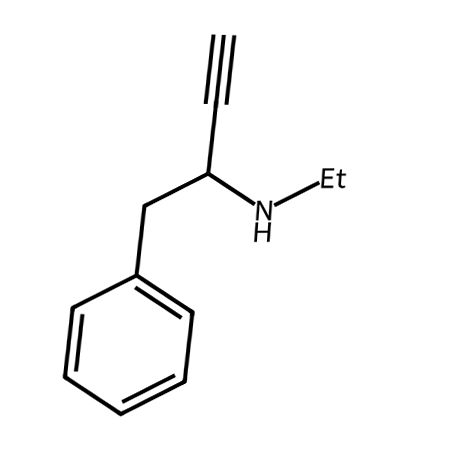 C#CC(Cc1ccccc1)NCC